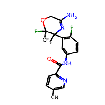 CC1(c2cc(NC(=O)c3ccc(C#N)cn3)ccc2F)N=C(N)COC1(F)C(F)(F)F